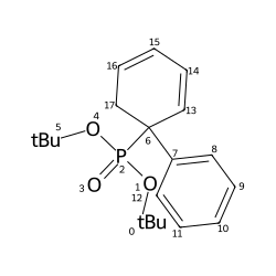 CC(C)(C)OP(=O)(OC(C)(C)C)C1(c2ccccc2)C=CC=CC1